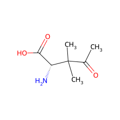 CC(=O)C(C)(C)[C@H](N)C(=O)O